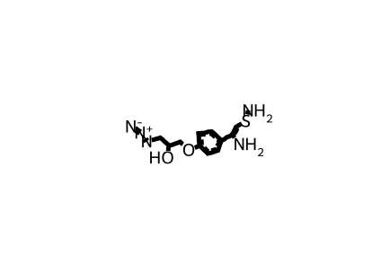 [N-]=[N+]=NCC(O)COc1ccc(/C(N)=C/SN)cc1